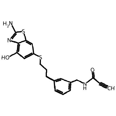 C#CC(=O)NCc1cccc(CCCSc2cc(O)c3nc(N)sc3c2)c1